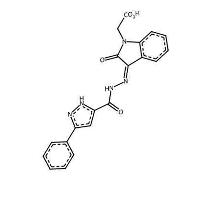 O=C(O)CN1C(=O)/C(=N\NC(=O)c2cc(-c3ccccc3)n[nH]2)c2ccccc21